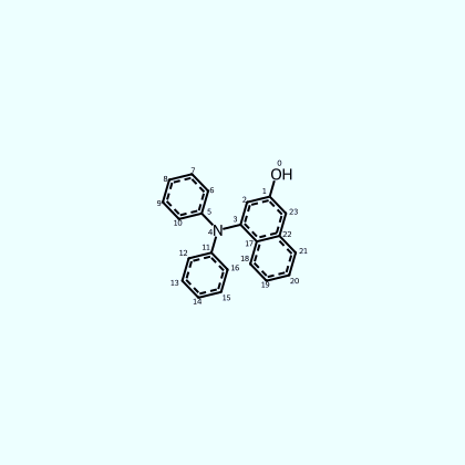 Oc1cc(N(c2ccccc2)c2ccccc2)c2ccccc2c1